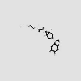 COCCOC(=O)C(C)[C@H]1[C@@H]2CC(n3cnc4cc(F)c(F)cc43)C[C@@H]21